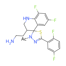 CC(=O)N1N=C(c2cc(F)ccc2F)SC12c1cc(F)cc(F)c1NCC2CCN